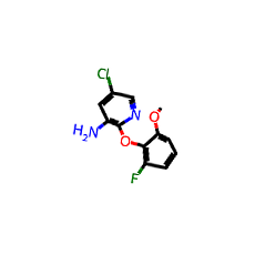 COc1cccc(F)c1Oc1ncc(Cl)cc1N